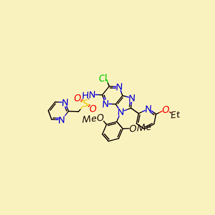 CCOc1cccc(-c2nc3nc(Cl)c(NS(=O)(=O)Cc4ncccn4)nc3n2-c2c(OC)cccc2OC)n1